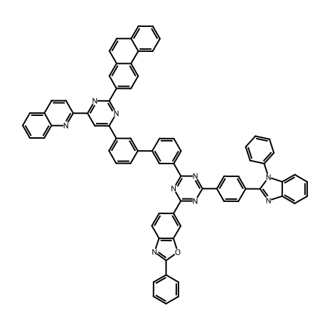 c1ccc(-c2nc3ccc(-c4nc(-c5ccc(-c6nc7ccccc7n6-c6ccccc6)cc5)nc(-c5cccc(-c6cccc(-c7cc(-c8ccc9ccccc9n8)nc(-c8ccc9c(ccc%10ccccc%109)c8)n7)c6)c5)n4)cc3o2)cc1